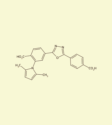 Cc1ccc(C)n1-c1cc(-c2nnc(-c3ccc(C(=O)O)cc3)o2)ccc1C(=O)O